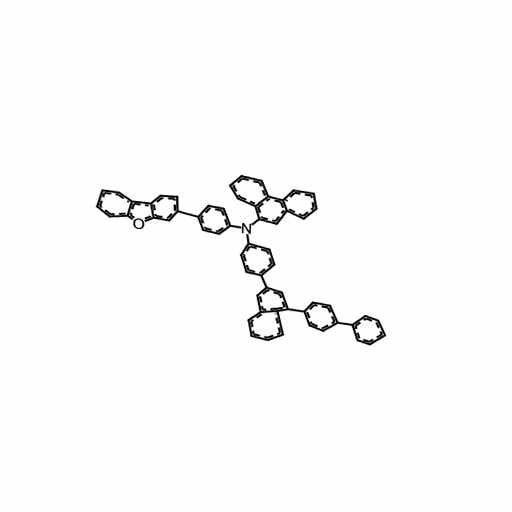 c1ccc(-c2ccc(-c3cc(-c4ccc(N(c5ccc(-c6ccc7c(c6)oc6ccccc67)cc5)c5cc6ccccc6c6ccccc56)cc4)cc4ccccc34)cc2)cc1